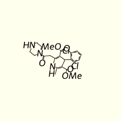 COC(=O)C1=C(C)NC(CC(=O)N2CCNCC2)=C(C(=O)OC)C1c1c(Cl)cccc1Cl